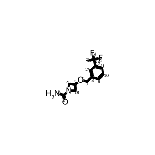 NC(=O)N1CC(OCc2cccc(C(F)(F)F)c2)C1